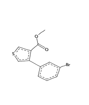 COC(=O)c1cscc1-c1cccc(Br)c1